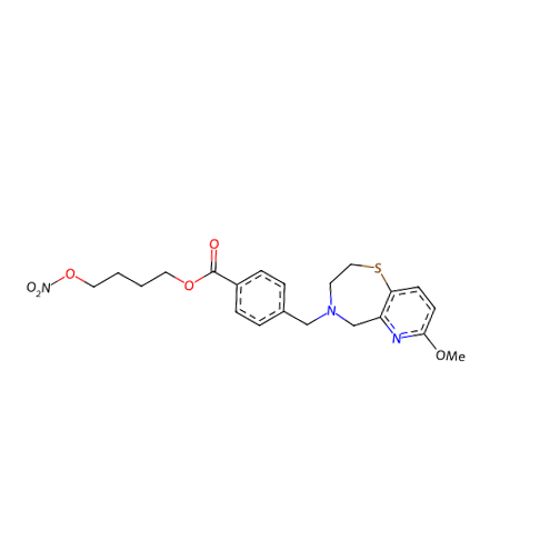 COc1ccc2c(n1)CN(Cc1ccc(C(=O)OCCCCO[N+](=O)[O-])cc1)CCS2